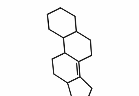 C1CC2=C3CCC4CCCCC4C3CCC2C1